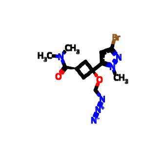 CN(C)C(=O)[C@H]1C[C@](OCN=[N+]=[N-])(c2cc(Br)nn2C)C1